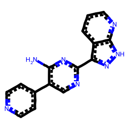 Nc1nc(-c2n[nH]c3ncccc23)ncc1-c1ccncc1